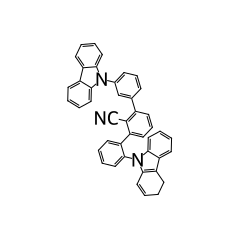 N#Cc1c(-c2cccc(-n3c4ccccc4c4ccccc43)c2)cccc1-c1ccccc1-n1c2c(c3ccccc31)CCC=C2